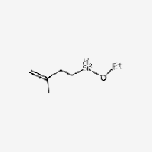 C=C(C)CC[SiH2]OCC